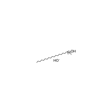 CCCCCCCCCCCCCCCCCC[N+](C)(C)C(C)O.[OH-]